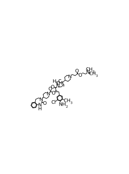 Cc1cc(C[C@@H](OC(=O)N2CCC(N3CCc4ccccc4NC3=O)CC2)C(=O)N(C)CCC(C)C2CCN(CCC(=O)OCCN(C)C)CC2)cc(Cl)c1N